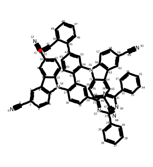 N#Cc1ccc2c(c1)c1cc(C#N)ccc1n2-c1ccc(-c2nc(-c3ccccc3)nc(-c3ccccc3)n2)cc1-c1ccc(-c2ccccc2C#N)cc1-n1c2ccc(C#N)cc2c2cc(C#N)ccc21